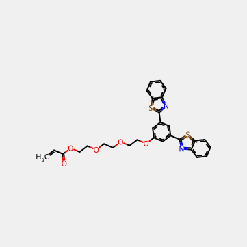 C=CC(=O)OCCOCCOCCOc1cc(-c2nc3ccccc3s2)cc(-c2nc3ccccc3s2)c1